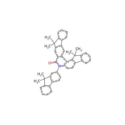 CC1(C)c2ccccc2-c2ccc(-n3c(=O)c4cc5c(cc4c4c6c(ccc43)-c3ccccc3C6(C)C)-c3ccccc3C5(C)C)cc21